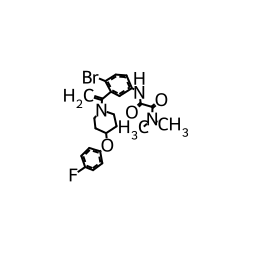 C=C(c1cc(NC(=O)C(=O)N(C)C)ccc1Br)N1CCC(Oc2ccc(F)cc2)CC1